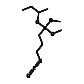 CCC(C)O[Si](CCCN=C=O)(OC)OC